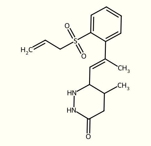 C=CCS(=O)(=O)c1ccccc1/C(C)=C/C1NNC(=O)CC1C